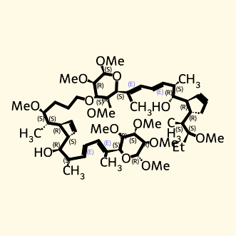 CC[C@H](OC)[C@@H](C)[C@H]1CC#C[C@@H]1[C@H](O)[C@@H](C)/C=C/C=C(\C)[C@@H]1O[C@H](OC)[C@H](OC)[C@@H](OCCC[C@H](OC)[C@@H](C)[C@H]2C=C[C@@H]2[C@H](O)[C@@H](C)/C=C/C=C(\C)[C@@H]2O[C@@H](OC)[C@H](OC)[C@@H](OC)[C@@H]2OC)[C@@H]1OC